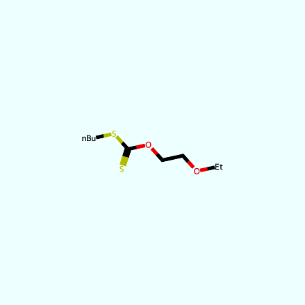 CCCCSC(=S)OCCOCC